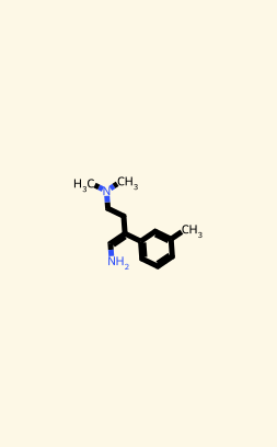 Cc1cccc(/C(=C\N)CCN(C)C)c1